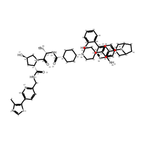 Cc1ncsc1-c1ccc(CNC(=O)[C@@H]2C[C@@H](O)CN2C(=O)[C@@H](NC(=O)[C@H]2CC[C@@H](N3CCC(c4ccc(N5C6CCC5CN(c5cc(-c7ccccc7O)nnc5N)C6)cc4)CC3)CC2)C(C)(C)C)nc1